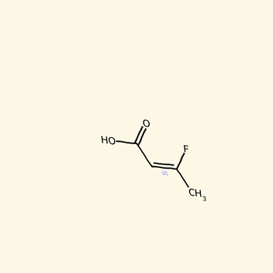 C/C(F)=C/C(=O)O